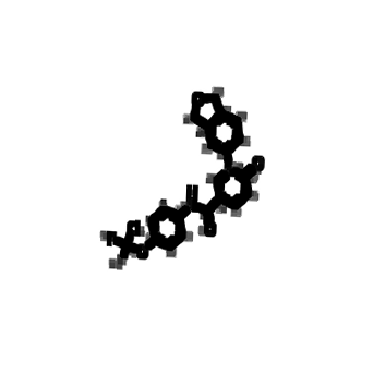 O=C(Nc1ccc(OC(F)(F)Cl)cc1)c1ccc(=O)n(-c2ccc3c(c2)COC3)c1